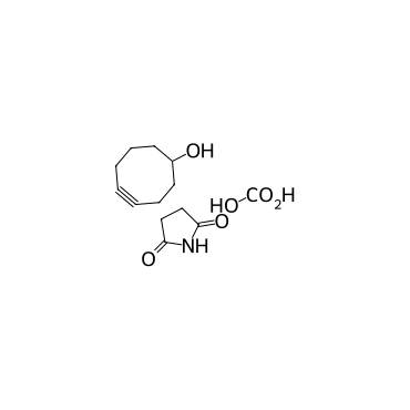 O=C(O)O.O=C1CCC(=O)N1.OC1CCC#CCCC1